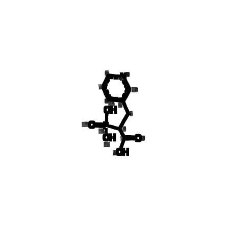 O=C(O)C(Cc1cccnc1)P(=O)(O)O